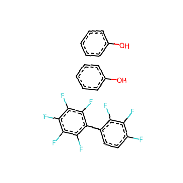 Fc1ccc(-c2c(F)c(F)c(F)c(F)c2F)c(F)c1F.Oc1ccccc1.Oc1ccccc1